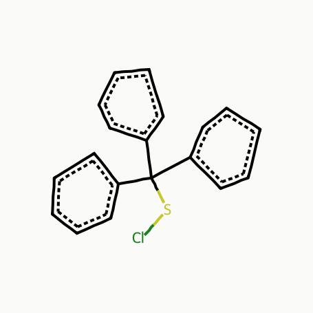 ClSC(c1ccccc1)(c1ccccc1)c1ccccc1